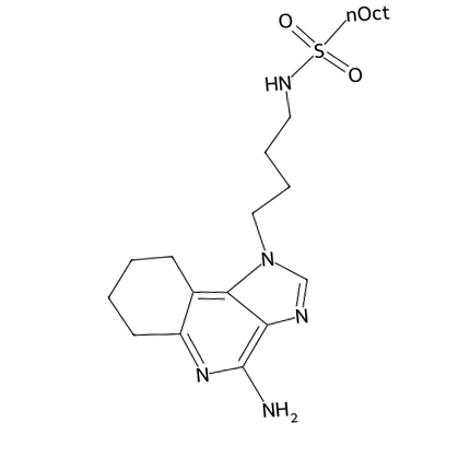 CCCCCCCCS(=O)(=O)NCCCCn1cnc2c(N)nc3c(c21)CCCC3